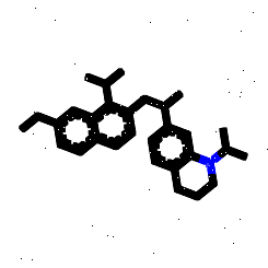 CCc1ccc2ccc(CC(C)c3ccc4c(c3)N(C(C)C)CCC4)c(C(C)C)c2c1